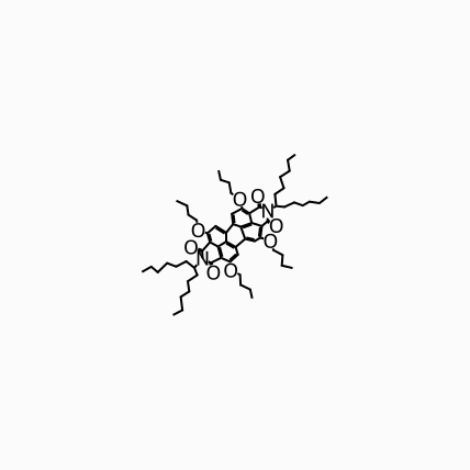 CCCCCCC(CCCCCC)N1C(=O)c2c(OCCCC)cc3c4cc(OCCCC)c5c6c(c(OCCCC)cc(c7cc(OCCCC)c(c2c37)C1=O)c64)C(=O)N(C(CCCCCC)CCCCCC)C5=O